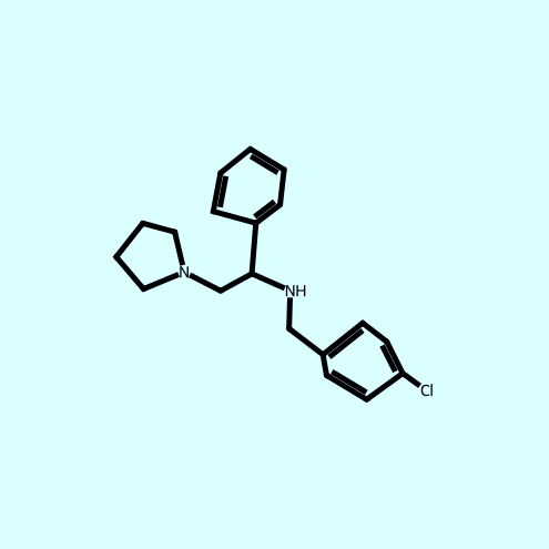 Clc1ccc(CNC(CN2CCCC2)c2ccccc2)cc1